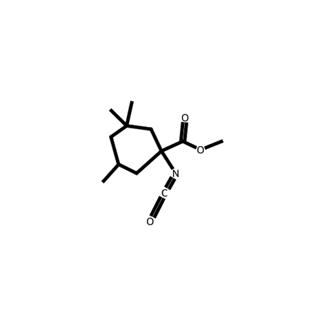 COC(=O)C1(N=C=O)CC(C)CC(C)(C)C1